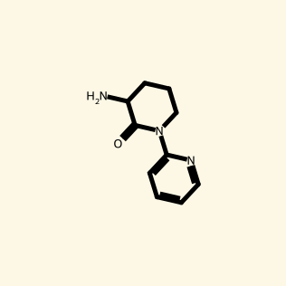 NC1CCCN(c2ccccn2)C1=O